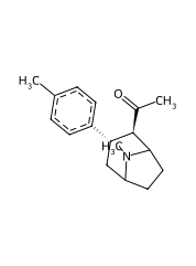 CC(=O)[C@H]1C2CCC(C[C@@H]1c1ccc(C)cc1)N2C